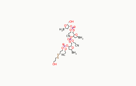 B[C@H]1C[C@@H](OP(=O)(OCCC#N)OC[C@H]2O[C@@H](B)C[C@H]2OP(=O)(OCCC#N)OC[C@H]2O[C@@H](B)C[C@H]2OP(=O)(OCCC#N)OCCCSSCCCO)[C@@H](CO)O1